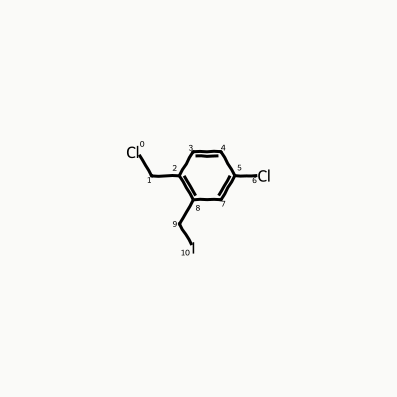 ClCc1ccc(Cl)cc1CI